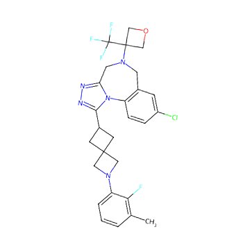 Cc1cccc(N2CC3(CC(c4nnc5n4-c4ccc(Cl)cc4CN(C4(C(F)(F)F)COC4)C5)C3)C2)c1F